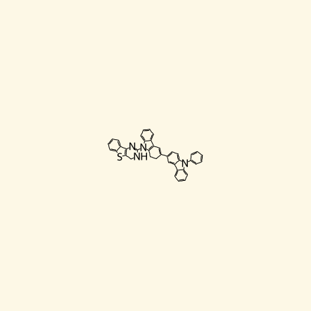 C1=C(c2ccc3c(c2)c2ccccc2n3-c2ccccc2)CCc2c1c1ccccc1n2C1=Nc2c(sc3ccccc23)CN1